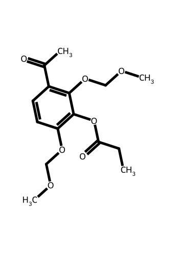 CCC(=O)Oc1c(OCOC)ccc(C(C)=O)c1OCOC